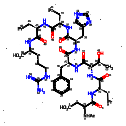 CC(=O)N[C@@H](CC(=O)O)C(=O)N[C@@H](CC(C)C)C(=O)N[C@H](C(=O)N[C@H](Cc1ccccc1)C(=O)N[C@@H](Cc1c[nH]cn1)C(=O)N[C@@H](CC(C)C)C(=O)N[C@@H](CC(C)C)C(=O)N[C@@H](CCCNC(=N)N)C(=O)O)[C@@H](C)O